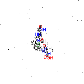 COc1nc(-c2cccc(-c3cccc(-c4cc5c(=O)n(C)c(CNCC(=O)O)nn5c4)c3Cl)c2Cl)ccc1CNCC1CCC(=O)N1